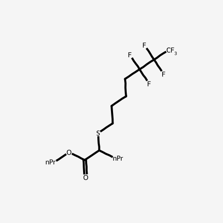 CCCOC(=O)C(CCC)SCCCCC(F)(F)C(F)(F)C(F)(F)F